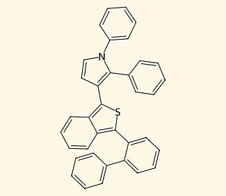 c1ccc(-c2ccccc2-c2sc(-c3ccn(-c4ccccc4)c3-c3ccccc3)c3ccccc23)cc1